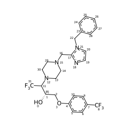 O[C@@H](COc1ccc(C(F)(F)F)cc1)C(N1CCN(Cc2nccn2Cc2ccccc2)CC1)C(F)(F)F